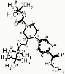 CNC(=O)c1ccc(N2CCN(C(=O)OC(C)(C)C)C[C@@H]2CO[Si](C)(C)C(C)(C)C)cn1